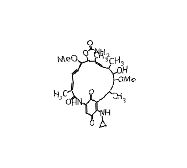 COC1/C=C/C=C(\C)C(=O)NC2=CC(=O)C(NC3CC3)=C(CC(C)CC(OC)C(O)C(C)/C=C(\C)C1OC(N)=O)C2=O